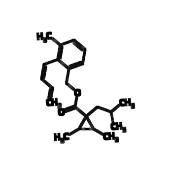 C=C/C=C\c1c(C)cccc1COC(=O)C1(CC(C)C)C(C)C1C